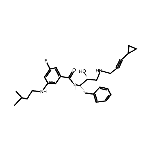 CC(C)CCNc1cc(F)cc(C(=O)N[C@@H](Cc2ccccc2)[C@H](O)CNCC#CC2CC2)c1